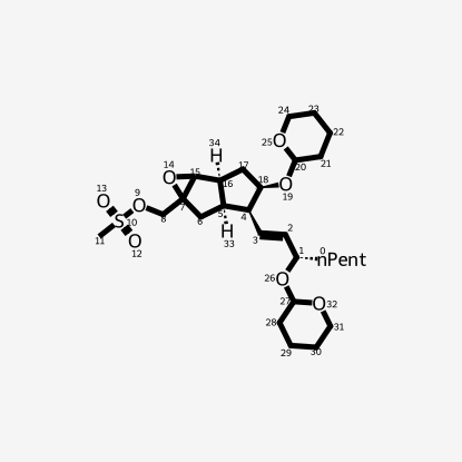 CCCCC[C@@H](/C=C/[C@H]1[C@H]2CC3(COS(C)(=O)=O)OC3[C@H]2C[C@H]1OC1CCCCO1)OC1CCCCO1